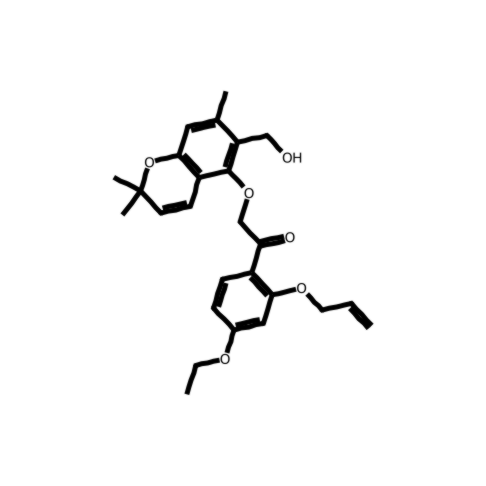 C=CCOc1cc(OCC)ccc1C(=O)COc1c2c(cc(C)c1CO)OC(C)(C)C=C2